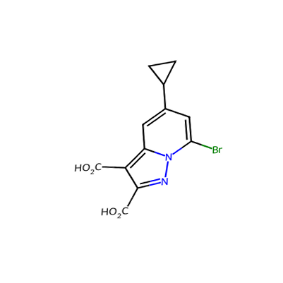 O=C(O)c1nn2c(Br)cc(C3CC3)cc2c1C(=O)O